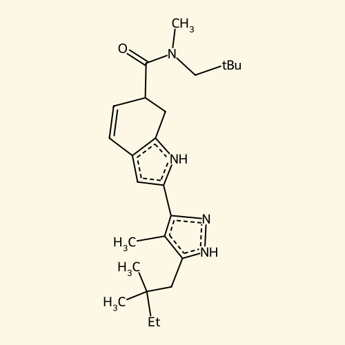 CCC(C)(C)Cc1[nH]nc(-c2cc3c([nH]2)CC(C(=O)N(C)CC(C)(C)C)C=C3)c1C